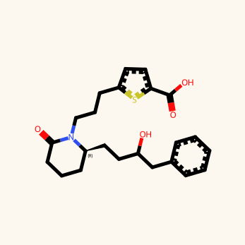 O=C(O)c1ccc(CCCN2C(=O)CCC[C@@H]2CCC(O)Cc2ccccc2)s1